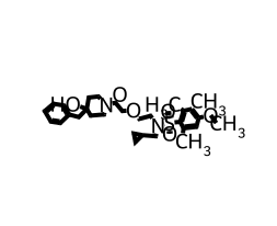 COc1cc(C)c(S(=O)(=O)N(CCOCC(=O)N2CCC(O)(Cc3ccccc3)CC2)CC2CC2)c(C)c1C